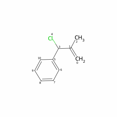 C=C(C)C(Cl)c1ccccc1